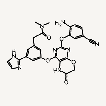 CN(C)C(=O)Cc1cc(Oc2nc(Oc3cc(C#N)ccc3N)nc3c2NC(=O)CO3)cc(-c2ncc[nH]2)c1